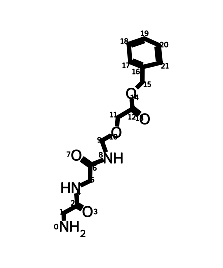 NCC(=O)NCC(=O)NCOCC(=O)OCc1ccccc1